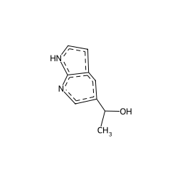 CC(O)c1cnc2[nH]ccc2c1